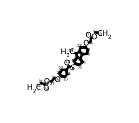 C=COC(=O)COc1ccc2c(c1)C(C)c1cc(SC(=O)c3ccc(OCCOC(=O)C=C)cc3)ccc1-2